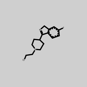 Fc1ccc2c(c1)CN=C2C1CCN(CCCl)CC1